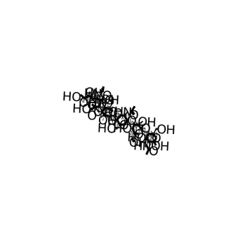 CC(=O)N[C@H]1[C@H](O[C@H]2[C@@H](O)[C@@H](CO)O[C@@H](O[C@H]3[C@H](O)[C@@H](NC(C)=O)C(O)O[C@@H]3CO)[C@@H]2O)O[C@H](CO)[C@@H](O[C@@H]2O[C@H](CO)[C@H](O)[C@H](O[C@]3(C(=O)O)C[C@H](O)[C@@H](NC(C)=O)[C@H]([C@H](O)[C@H](O)CO)O3)[C@H]2O)[C@@H]1O